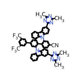 Cc1nc(C)nc(-c2ccc3c(c2)c2ccccc2n3-c2cc(C#N)ccc2-c2ccc(-c3cc(C(F)(F)F)cc(C(F)(F)F)c3)cc2-n2c3ccccc3c3cc(-c4nc(C)nc(C)n4)ccc32)n1